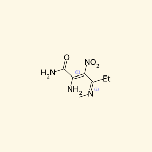 CCC(=N/C)/C(=C(\N)C(N)=O)[N+](=O)[O-]